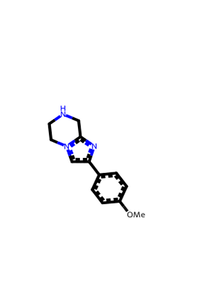 COc1ccc(-c2cn3c(n2)CNCC3)cc1